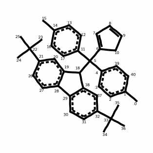 Cc1ccc(C(C2=CC=CC2)(c2ccc(C)cc2)C2c3cc(C(C)(C)C)ccc3-c3ccc(C(C)(C)C)cc32)cc1